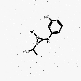 CC(N1C(Nc2cccc(C#N)c2)N1C#N)C(C)(C)C